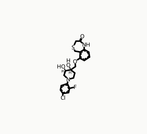 O=C1CSCc2c(cccc2OC[C@]2(O)CCN(c3ccc(Cl)cc3F)C[C@H]2O)N1